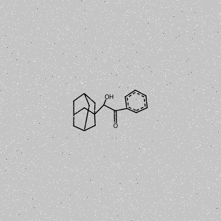 O=C(c1ccccc1)C(O)C12CC3CC(CC(C3)C1)C2